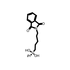 CC(C)[Si](O)(O)CCCCCN1C(=O)c2ccccc2C1=O